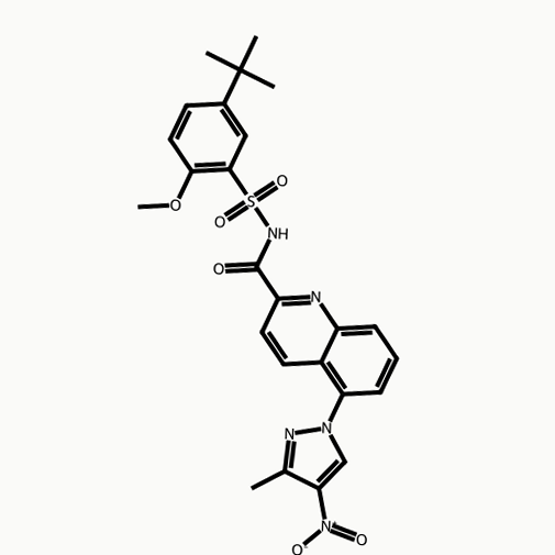 COc1ccc(C(C)(C)C)cc1S(=O)(=O)NC(=O)c1ccc2c(-n3cc([N+](=O)[O-])c(C)n3)cccc2n1